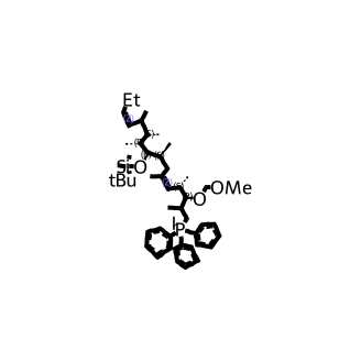 CC/C=C\C(C)[C@H](C)[C@@H](C)[C@H](O[Si](C)(C)C(C)(C)C)[C@@H](C)C/C(C)=C\[C@H](C)[C@@H](OCOC)C(C)CP(I)(c1ccccc1)(c1ccccc1)c1ccccc1